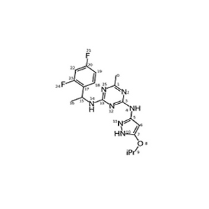 Cc1nc(Nc2cc(OC(C)C)[nH]n2)nc(NC(C)c2ccc(F)cc2F)n1